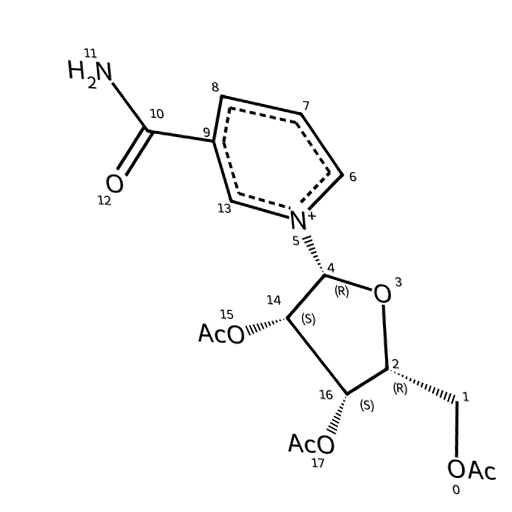 CC(=O)OC[C@H]1O[C@@H]([n+]2cccc(C(N)=O)c2)[C@@H](OC(C)=O)[C@H]1OC(C)=O